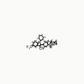 N#Cc1c(-c2ccc(S(=O)(=O)NC3(C(F)(F)F)CC3)cn2)n(C2CCCCC2)c2ncc(C(F)(F)F)cc12